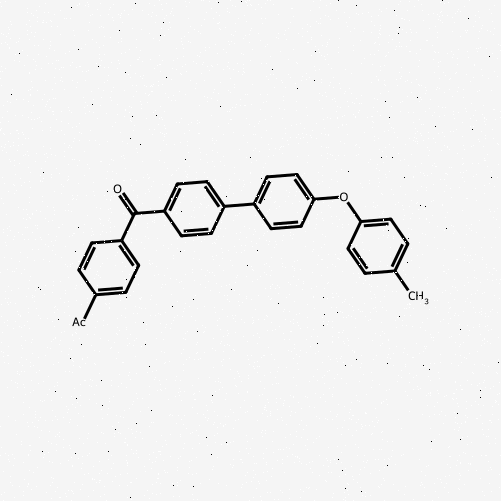 CC(=O)c1ccc(C(=O)c2ccc(-c3ccc(Oc4ccc(C)cc4)cc3)cc2)cc1